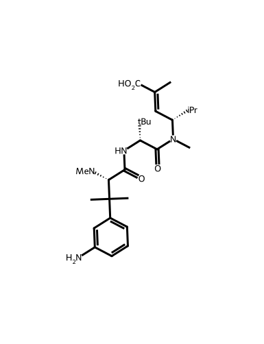 CN[C@H](C(=O)N[C@@H](C(=O)N(C)[C@H](C=C(C)C(=O)O)C(C)C)C(C)(C)C)C(C)(C)c1cccc(N)c1